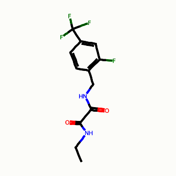 CCNC(=O)C(=O)NCc1ccc(C(F)(F)F)cc1F